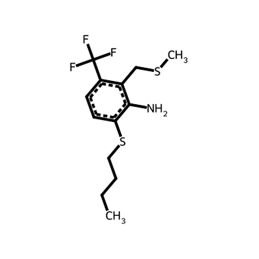 CCCCSc1ccc(C(F)(F)F)c(CSC)c1N